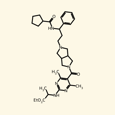 CCOC(=O)C(C)Nc1nc(C)c(C(=O)N2CC3CN(CCC(NC(=O)C4CCCC4)c4ccccc4)CC3C2)c(C)n1